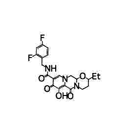 CCC1CCN2C(=O)c3c(O)c(=O)c(C(=O)NCc4ccc(F)cc4F)cn3CC2O1